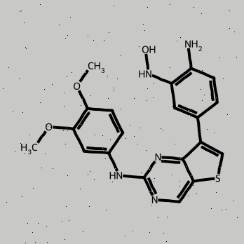 COc1ccc(Nc2ncc3scc(-c4ccc(N)c(NO)c4)c3n2)cc1OC